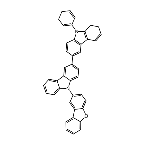 C1=CC(n2c3c(c4cc(-c5ccc6c(c5)c5ccccc5n6-c5ccc6oc7ccccc7c6c5)ccc42)C=CCC3)=CCC1